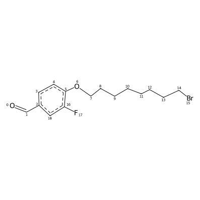 O=Cc1ccc(OCCCCCCCCBr)c(F)c1